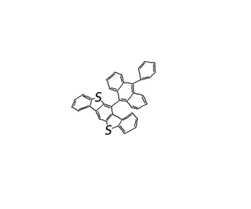 c1ccc(-c2c3ccccc3c(-c3c4sc5ccccc5c4cc4sc5ccccc5c34)c3ccccc23)cc1